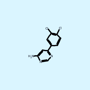 Nc1cc(-c2ccc(Cl)c(Cl)c2)ncn1